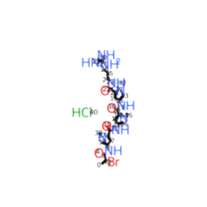 C=C(Br)C(=O)Nc1cc(C(=O)Nc2cc(C(=O)Nc3cc(C(=O)NCCCNC(=N)N)n(C)c3)n(C)c2)n(C)c1.Cl